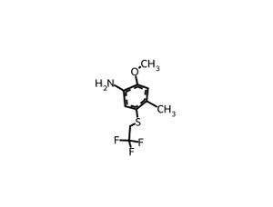 COc1cc(C)c(SCC(F)(F)F)cc1N